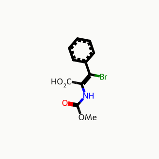 COC(=O)N/C(C(=O)O)=C(\Br)c1ccccc1